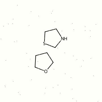 C1CCOC1.C1CSCN1